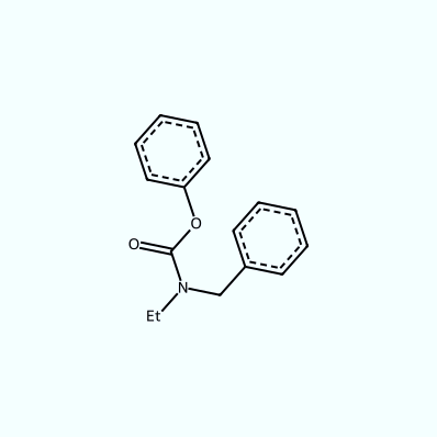 CCN(Cc1ccccc1)C(=O)Oc1ccccc1